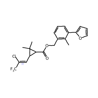 Cc1c(COC(=O)C2C(/C=C(\Cl)C(F)(F)F)C2(C)C)cccc1-c1ccco1